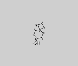 SC1CCC2(CCO2)CC1